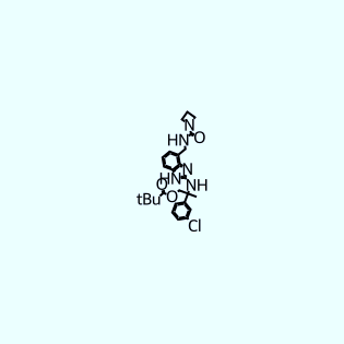 CC(C)(C)C(=O)OCC(C)(Nc1nc2c(CNC(=O)N3CCC3)cccc2[nH]1)c1cccc(Cl)c1